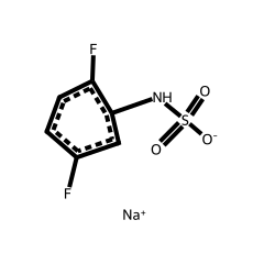 O=S(=O)([O-])Nc1cc(F)ccc1F.[Na+]